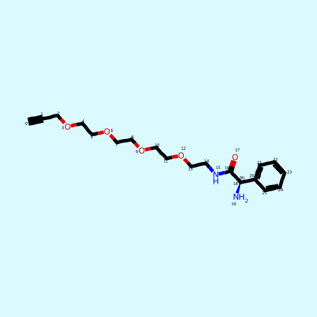 C#CCOCCOCCOCCOCCNC(=O)[C@H](N)c1ccccc1